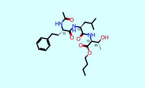 CCCCOC(=O)[C@@H](NC(=O)[C@H](CC(C)C)NC(=O)[C@H](CCc1ccccc1)NC(C)=O)[C@@H](C)O